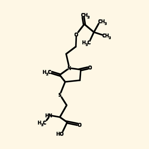 C=C1C(SCC(NC)C(=O)O)CC(=O)N1CCOC(=C)C(C)(C)C